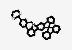 c1cnc(-c2ccc3c(c2)Cn2c4cc5c(cc4c4cccc-3c42)C2(c3ccccc3-c3ccccc32)c2ccccc2-5)nc1